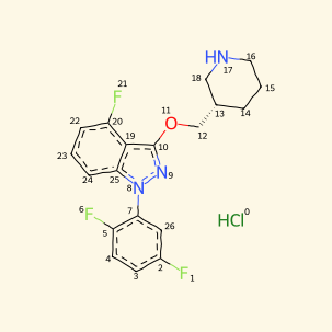 Cl.Fc1ccc(F)c(-n2nc(OC[C@H]3CCCNC3)c3c(F)cccc32)c1